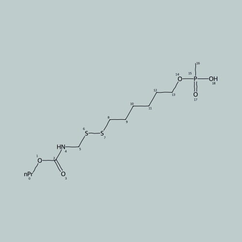 CCCOC(=O)NCSSCCCCCCOP(C)(=O)O